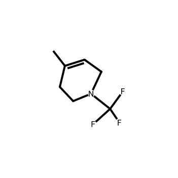 CC1=CCN(C(F)(F)F)CC1